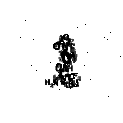 CC(C)(C)CN(CC(F)(F)F)[C@H](CN)C(=O)Nc1ccc(N2CCOCC2=O)c(C(F)F)c1